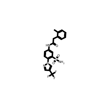 Cc1ccccc1CC(=O)Nc1ccc(-n2cc(C(F)(F)F)cn2)c(S(N)(=O)=O)c1